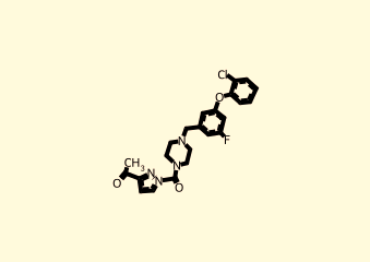 CC(=O)c1ccn(C(=O)N2CCN(Cc3cc(F)cc(Oc4ccccc4Cl)c3)CC2)n1